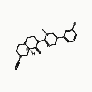 CN1CC(c2cccc(Cl)c2)CN=C1N1CCN2CCN(C#N)C[C@@H]2C1=O